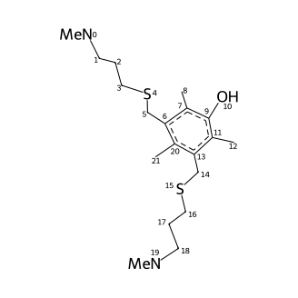 CNCCCSCc1c(C)c(O)c(C)c(CSCCCNC)c1C